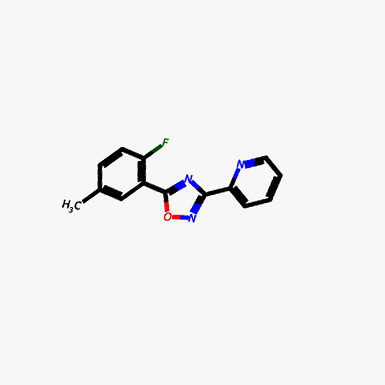 Cc1ccc(F)c(-c2nc(-c3ccccn3)no2)c1